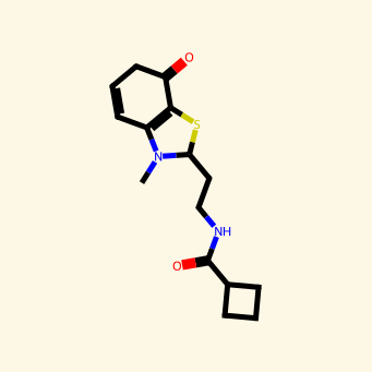 CN1C2=C(SC1CCNC(=O)C1CCC1)C(=O)CC=C2